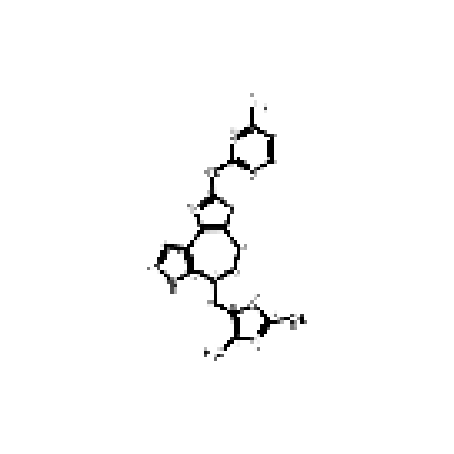 Cc1ccnc(Nc2nc3c(s2)CCN(Cc2sc(C)nc2C)c2[nH]ncc2-3)n1